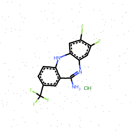 Cl.NC1=Nc2cc(F)c(F)cc2Nc2ccc(C(F)(F)F)cc21